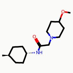 COC1CCN(CC(=O)N[C@H]2CC[C@H](C)CC2)CC1